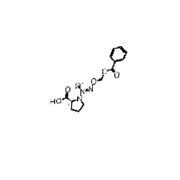 O=C(OCON=[N+]([O-])N1CCC[C@H]1C(=O)O)c1ccccc1